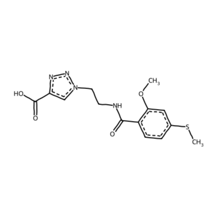 COc1cc(SC)ccc1C(=O)NCCn1cc(C(=O)O)nn1